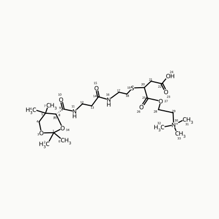 CC1(C)OCC(C)(C)[C@H](C(=O)NCCC(=O)NCCSC(CC(=O)O)C(=O)OCC[N+](C)(C)C)O1